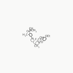 CCOc1cccc(C(O)(C(=O)N2CCC(C)(CC3CCN(c4ccc(C(=O)N(C)C)c(C)c4)CC3)CC2)C(F)(F)F)c1